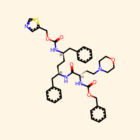 O=C(N[C@H](CC[C@H](Cc1ccccc1)NC(=O)[C@H](CCN1CCOCC1)NC(=O)OCc1ccccc1)Cc1ccccc1)OCc1cncs1